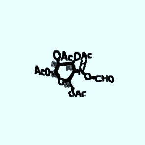 CC(=O)OC[C@H]1O[C@H](OC(C)=O)[C@@H](OC(C)=O)[C@@H](OC(C)=O)C1NOC=O